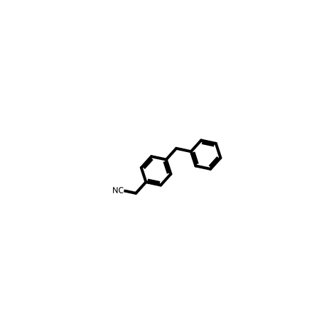 N#CCc1ccc(Cc2ccccc2)cc1